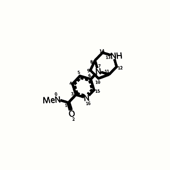 CNC(=O)c1ccc(N2C3CCC2CNC3)cn1